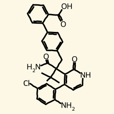 CC(C)(C)C(Cc1ccc(-c2ccccc2C(=O)O)cc1)(C(N)=O)c1c(-c2cc(Cl)ccc2N)cc[nH]c1=O